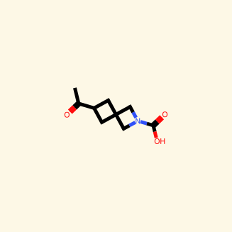 CC(=O)C1CC2(C1)CN(C(=O)O)C2